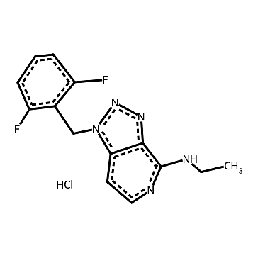 CCNc1nccc2c1nnn2Cc1c(F)cccc1F.Cl